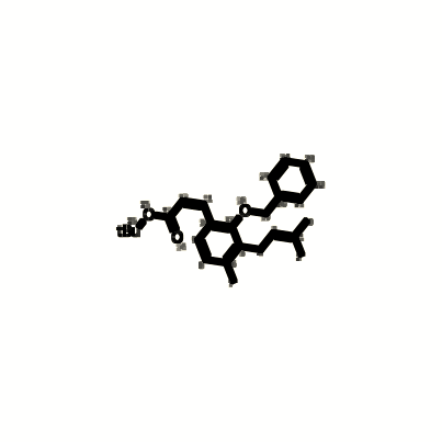 CC(C)=CCc1c(C)ccc(/C=C\C(=O)OC(C)(C)C)c1OCc1ccccc1